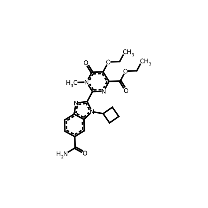 CCOC(=O)c1nc(-c2nc3ccc(C(N)=O)cc3n2C2CCC2)n(C)c(=O)c1OCC